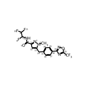 Cn1nc(C(=O)NC(F)C(F)F)cc1Cc1ccc(-c2noc(C(F)(F)F)n2)cc1